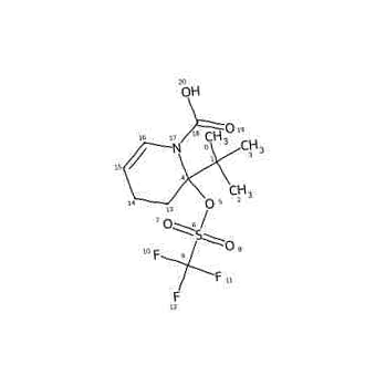 CC(C)(C)C1(OS(=O)(=O)C(F)(F)F)CCC=CN1C(=O)O